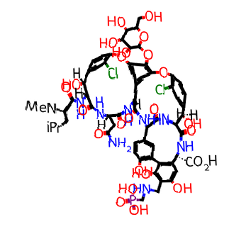 CN[C@H](CC(C)C)C(=O)N[C@H]1C(=O)N[C@@H](CC(N)=O)C(=O)N[C@H]2C(=O)NC3C(=O)N[C@H](C(=O)N[C@H](C(=O)O)c4cc(O)c(CNCP(=O)(O)O)c(O)c4-c4cc3ccc4O)[C@H](O)c3ccc(c(Cl)c3)Oc3cc2cc(c3OC2OC(CO)C(O)C(O)C2O)Oc2ccc(cc2Cl)[C@H]1O